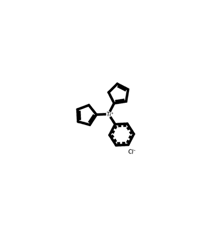 C1=CC[C]([Ti+]([C]2=CC=CC2)[c]2ccccc2)=C1.[Cl-]